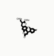 COCC(Cc1ccc2c(-c3ccc(F)cc3Cl)cc(=O)oc2c1)C(=O)OC